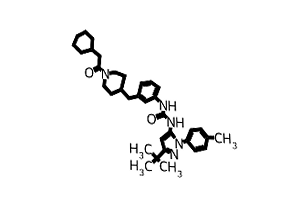 Cc1ccc(-n2nc(C(C)(C)C)cc2NC(=O)Nc2cccc(CC3CCN(C(=O)CC4CCCCC4)CC3)c2)cc1